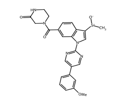 COc1cccc(-c2cnc(-n3cc([S+](C)[O-])c4ccc(C(=O)N5CCNC(=O)C5)cc43)nc2)c1